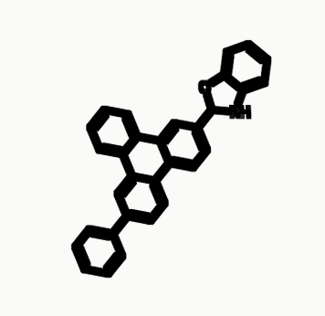 c1ccc(-c2ccc3c4ccc(C5Nc6ccccc6O5)cc4c4ccccc4c3c2)cc1